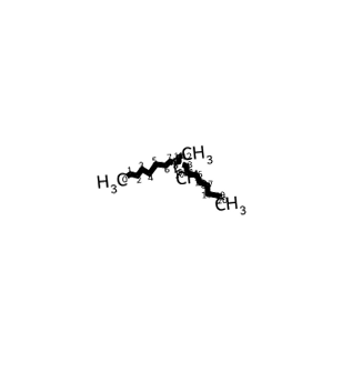 CCCCCCCC[P](CC)(CC)CCCCCCCC